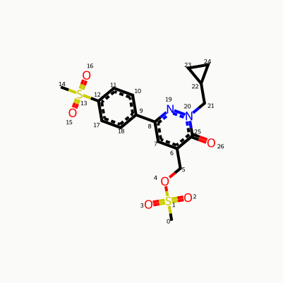 CS(=O)(=O)OCc1cc(-c2ccc(S(C)(=O)=O)cc2)nn(CC2CC2)c1=O